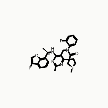 Cc1nc(N[C@H](C)c2cccc3c(F)coc23)c2c(n1)C1(CCN(C)C1)C(=O)N(c1ccccc1F)C2